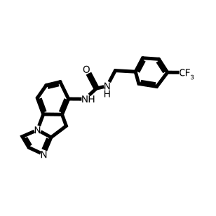 O=C(NCc1ccc(C(F)(F)F)cc1)Nc1cccc2c1Cc1nccn1-2